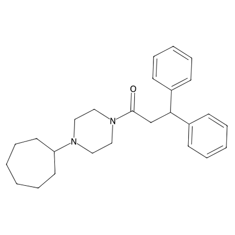 O=C(CC(c1ccccc1)c1ccccc1)N1CCN(C2CCCCCC2)CC1